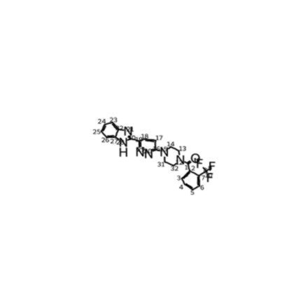 O=C(c1ccccc1C(F)(F)F)N1CCN(c2ccc(-c3nc4ccccc4[nH]3)nn2)CC1